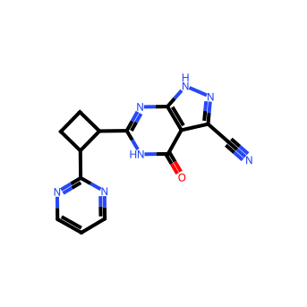 N#Cc1n[nH]c2nc(C3CCC3c3ncccn3)[nH]c(=O)c12